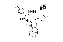 CC(C)NC[C@@H](C(=O)N1CCN(c2c(-c3cccc(CN(C)C)c3)cnc3[nH]ccc23)CC1)c1ccc(Cl)cc1.Cl.Cl.Cl